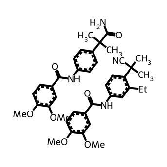 CCc1cc(NC(=O)c2ccc(OC)c(OC)c2)ccc1C(C)(C)C#N.COc1ccc(C(=O)Nc2ccc(C(C)(C)C(N)=O)cc2)cc1OC